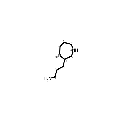 NCCCC1CNCCC[N]1